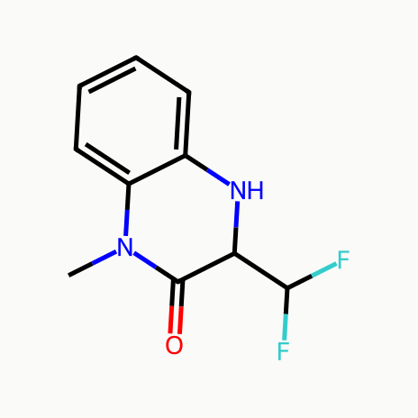 CN1C(=O)C(C(F)F)Nc2ccccc21